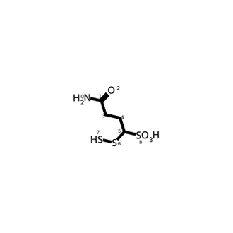 NC(=O)CCC(SS)S(=O)(=O)O